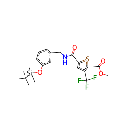 COC(=O)c1sc(C(=O)NCc2cccc(O[Si](C)(C)C(C)(C)C)c2)cc1C(F)(F)F